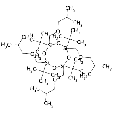 CC(C)COC[Si]1(C(C)(C)C)O[Si](COCC(C)C)(C(C)(C)C)O[Si](COCC(C)C)(C(C)(C)C)O[Si](COCC(C)C)(C(C)(C)C)O1